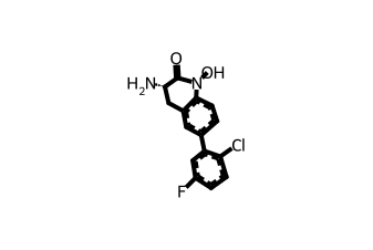 N[C@H]1Cc2cc(-c3cc(F)ccc3Cl)ccc2N(O)C1=O